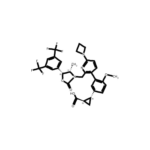 COc1ccc([C@@H]2C[C@H]2C(=O)O)cc1-c1ccc(N2CCC2)nc1CN1C(=O)O[C@H](c2cc(C(F)(F)F)cc(C(F)(F)F)c2)[C@@H]1C